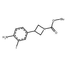 CC(C)(C)OC(=O)N1CC(c2ccc(N)c(I)c2)C1